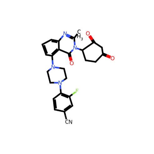 Cc1nc2cccc(N3CCN(c4ccc(C#N)cc4F)CC3)c2c(=O)n1C1CCC(=O)CC1=O